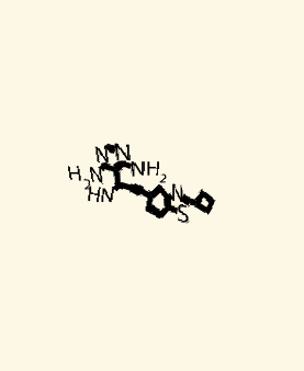 N=C(C#Cc1ccc2sc(C3CCC3)nc2c1)c1c(N)ncnc1N